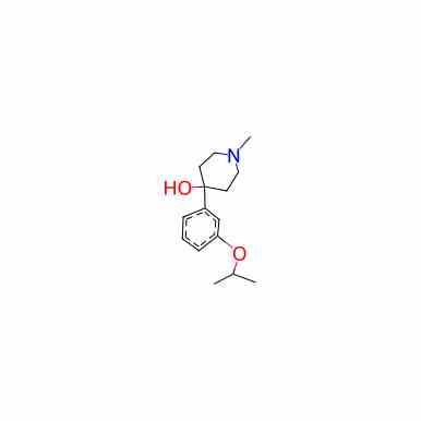 CC(C)Oc1cccc(C2(O)CCN(C)CC2)c1